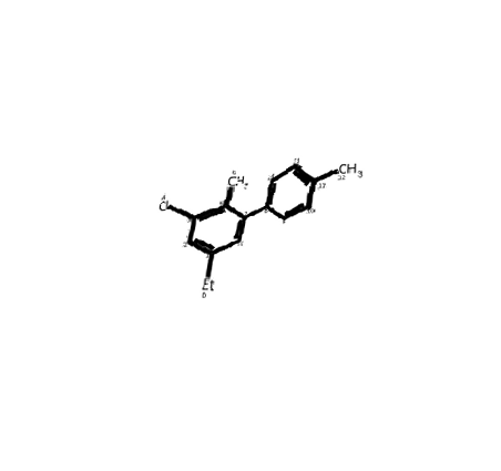 CCc1cc(Cl)c(C)c(-c2ccc(C)cc2)c1